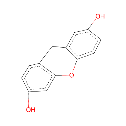 Oc1ccc2c(c1)Cc1ccc(O)cc1O2